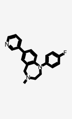 CN1CCN(c2ccc(F)cc2)c2ccc(-c3cccnc3)cc2C1